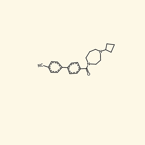 N#Cc1ccc(-c2ccc(C(=O)N3CCCN(C4CCC4)CC3)cc2)cc1